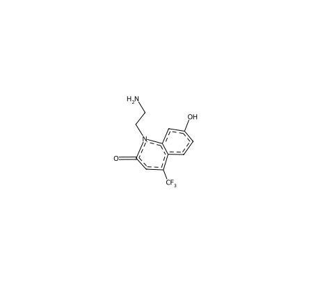 NCCn1c(=O)cc(C(F)(F)F)c2ccc(O)cc21